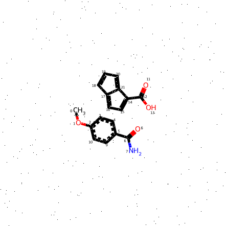 COc1ccc(C(N)=O)cc1.O=C(O)C1=CC=C2C=CC=C21